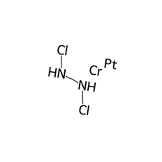 ClNNCl.[Cr].[Pt]